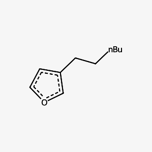 [CH2]CCCCCc1ccoc1